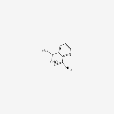 CC(C)(C)C(C=O)c1cccnc1C(N)=O